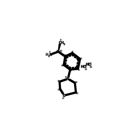 C[C@H](N)c1cccc(N2CCOCC2)c1.Cl.Cl